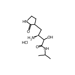 CC(C)NC(=O)C(O)[C@@H](N)CC1CCNC1=O.Cl